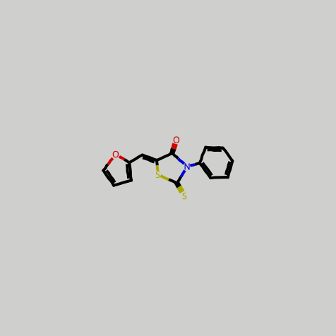 O=C1C(=Cc2ccco2)SC(=S)N1c1ccccc1